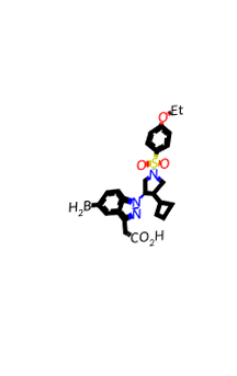 Bc1ccc2c(c1)c(CC(=O)O)nn2[C@H]1CN(S(=O)(=O)c2ccc(OCC)cc2)CC1C1CCC1